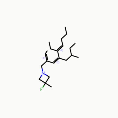 C\C=C(/C=C(CC(C)CC)\C(=C\CCC)CC)CN1CC(C)(F)C1